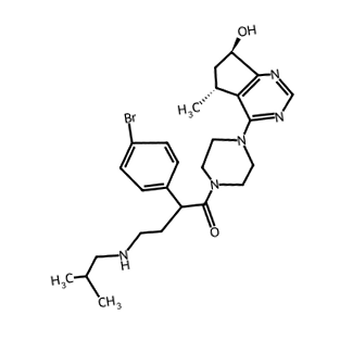 CC(C)CNCCC(C(=O)N1CCN(c2ncnc3c2[C@H](C)C[C@H]3O)CC1)c1ccc(Br)cc1